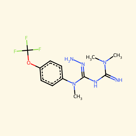 CN(C)C(=N)NC(=NN)N(C)c1ccc(OC(F)(F)F)cc1